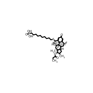 CCC(=O)O[C@@H]1[C@H](C)C[C@H]2[C@@H]3C[C@H](F)C4=CC(=O)C=C(C(=O)SCCCCCCCCCCP(=O)(O)O)[C@@]4(C)[C@@]3(F)[C@@H](O)C[C@]12C